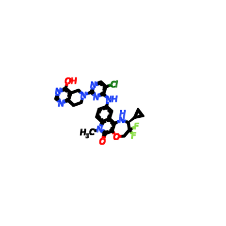 Cn1c(=O)c2c(c3cc(Nc4nc(N5CCc6ncnc(O)c6C5)ncc4Cl)ccc31)N[C@@H](C1CC1)C(F)(F)CO2